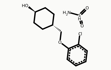 N[SH](=O)=O.O[C@H]1CC[C@H](COc2ccccc2Cl)CC1